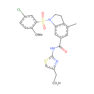 COc1ccc(Cl)cc1S(=O)(=O)N1CCc2c(C)cc(C(=O)Nc3nc(CC(=O)O)cs3)cc21